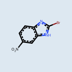 O=[N+]([O-])c1ccc2nc(Br)[nH]c2c1